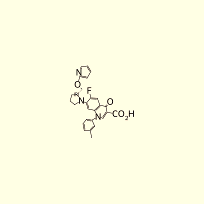 Cc1cccc(-n2cc(C(=O)O)c(=O)c3cc(F)c(N4CCC[C@@H]4COc4ccccn4)cc32)c1